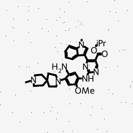 COc1cc(N2CCC3(CCN(C)CC3)CC2)c(N)cc1Nc1ncc(C(=O)OC(C)C)c(-c2cn(C)c3ccccc23)n1